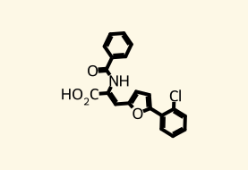 O=C(O)C(=Cc1ccc(-c2ccccc2Cl)o1)NC(=O)c1ccccc1